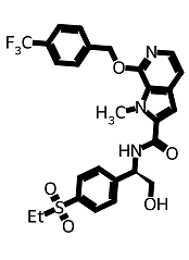 CCS(=O)(=O)c1ccc([C@H](CO)NC(=O)c2cc3ccnc(OCc4ccc(C(F)(F)F)cc4)c3n2C)cc1